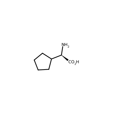 N[C@@H](C(=O)O)C1CCCC1